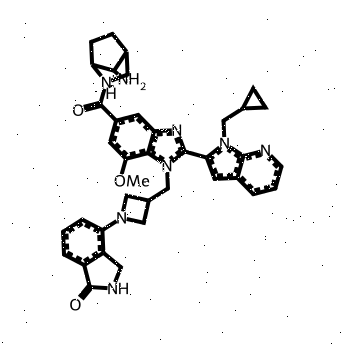 COc1cc(C(=O)N2CC3CCC2[C@@H]3N)cc2nc(-c3cc4cccnc4n3CC3CC3)n(CC3CN(c4cccc5c4CNC5=O)C3)c12